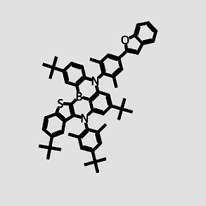 Cc1cc(-c2cc3ccccc3o2)cc(C)c1N1c2ccc(C(C)(C)C)cc2B2c3sc4ccc(C(C)(C)C)cc4c3N(c3c(C)cc(C(C)(C)C)cc3C)c3cc(C(C)(C)C)cc1c32